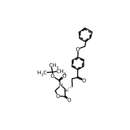 CC(C)(C)OC(=O)N1COC(=O)[C@H]1CCC(=O)c1ccc(OCc2ccccc2)cc1